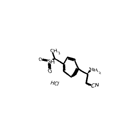 CC(c1ccc([C@@H](N)CC#N)cc1)[SH](=O)=O.Cl